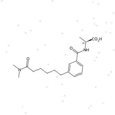 C[C@H](NC(=O)c1cccc(CCCCCC(=O)N(C)C)c1)C(=O)O